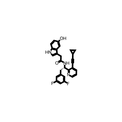 O=C(Cc1c[nH]c2ccc(O)cc12)N[C@@H](Cc1cc(F)cc(F)c1)c1ncccc1C#CC1CC1